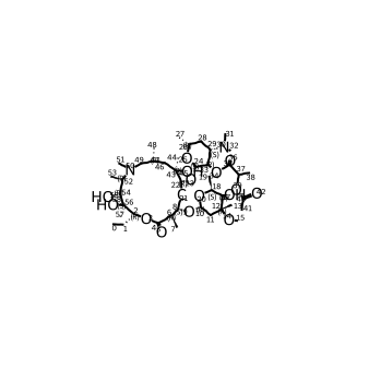 CC[C@H]1OC(=O)[C@H](C)[C@@H](O[C@H]2C[C@@](C)(OC)[C@@H](O)[C@H](C)O2)C[C@@H](O[C@@H]2O[C@H](C)C[C@H](N(C)C)[C@H]2OC(=O)C(C)OC(C)=O)[C@](C)(O)C[C@@H](C)CN(C)[C@H](C)[C@@H](O)[C@]1(C)O